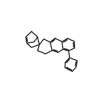 C1=C2CC(C1)C1(CCc3cc4c(-c5ccccc5)cccc4cc3C1)C2